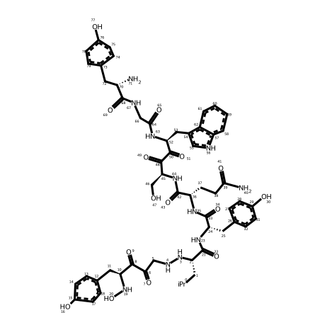 CC(C)C[C@H](NNCC(=O)C(=O)[C@H](Cc1ccc(O)cc1)NO)C(=O)N[C@@H](Cc1ccc(O)cc1)C(=O)N[C@@H](CCC(N)=O)C(=O)N[C@@H](CO)C(=O)C(=O)[C@H](Cc1c[nH]c2ccccc12)NC(=O)CNC(=O)[C@@H](N)Cc1ccc(O)cc1